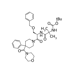 CC(C)(C)OC(=O)NC(C)(C)C(=O)N[C@H](COCc1ccccc1)C(=O)N1CCC(C(=O)N2CCOCC2)(c2ccccc2)CC1